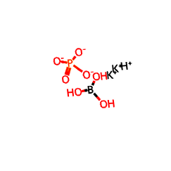 O=P([O-])([O-])[O-].OB(O)O.[H+].[K+].[K+]